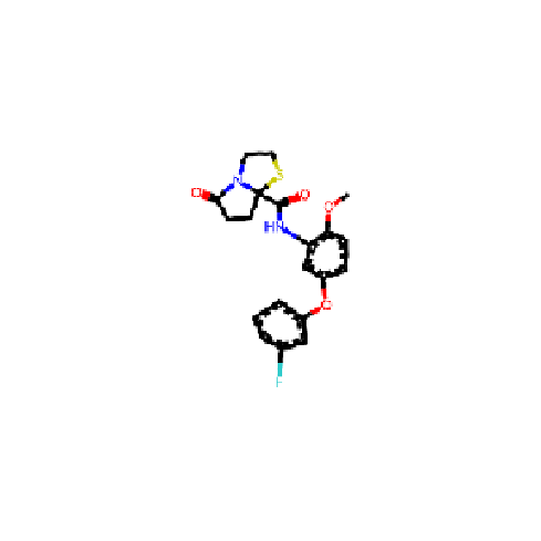 COc1ccc(Oc2cccc(F)c2)cc1NC(=O)C12CCC(=O)N1CCS2